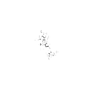 CCNC1=C2NCN(c3oc(CO[C@@](C)(C(=O)OCC)P(=O)(O)O)c(O)c3O)[C@H]2NC(Cl)=N1